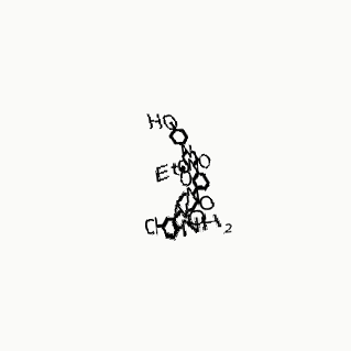 CCC(=O)Oc1c(N2CCN(C3CCC(O)CC3)CC2=O)cccc1N1CCN(c2cc(Cl)ccc2N)C(=O)C1=O